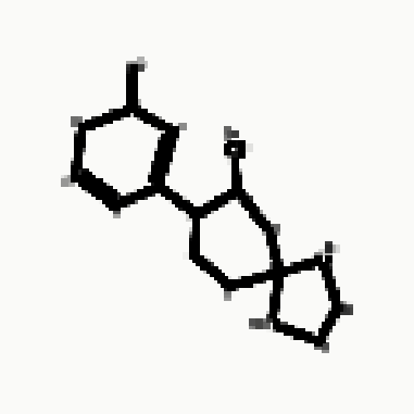 CC1C=C(C2CCC3(CC2O)OCCO3)C=CC1